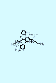 CCOC(=O)C1=C(COCCN)NC(C)=C(C(=O)OC)[C@@H]1c1ccccc1Cl.O.O=C(O)c1cccnc1